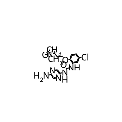 C[N+](C)([O-])CCCOc1ccc(Cl)cc1NC(=O)Nc1cnc(N)cn1